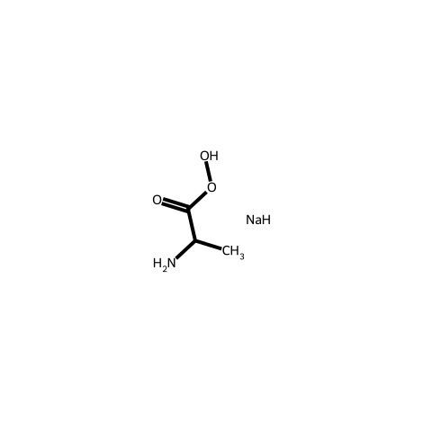 CC(N)C(=O)OO.[NaH]